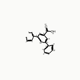 C/C=C\C(=C/C)c1cc(C(=O)O)cc(-c2ccccc2)c1